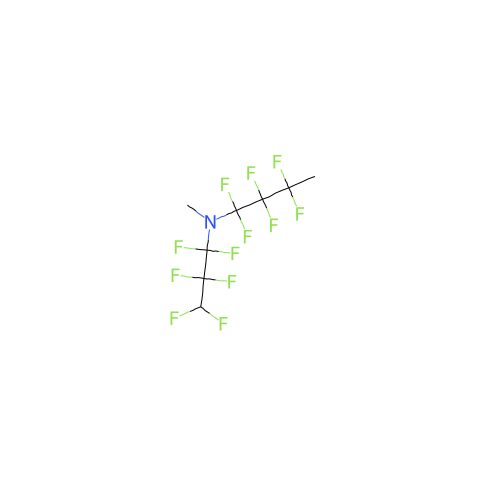 CN(C(F)(F)C(F)(F)C(F)F)C(F)(F)C(F)(F)C(C)(F)F